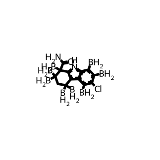 Bc1c(Cl)c(B)c2c3c([nH]c2c1B)C(B)(C(N)=O)C(B)(B)CC3(B)B